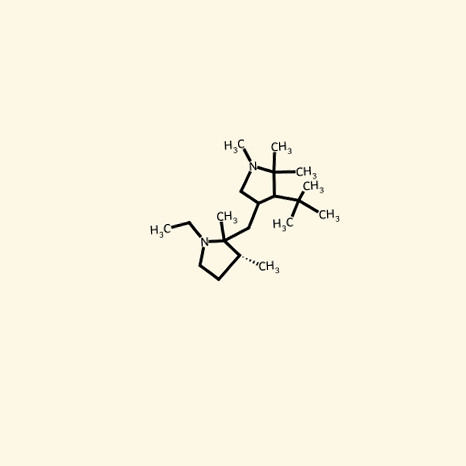 CCN1CC[C@@H](C)C1(C)CC1CN(C)C(C)(C)C1C(C)(C)C